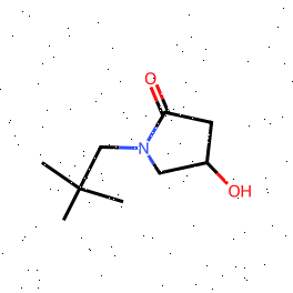 CC(C)(C)CN1CC(O)CC1=O